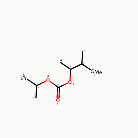 COC(C)C(C)OC(=O)OC(C)C(C)C